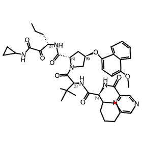 CCC[C@H](NC(=O)[C@@H]1C[C@@H](Oc2ccc(OC)c3ccccc23)CN1C(=O)[C@@H](NC(=O)[C@@H](NC(=O)c1cnccn1)C1CCCCC1)C(C)(C)C)C(=O)C(=O)NC1CC1